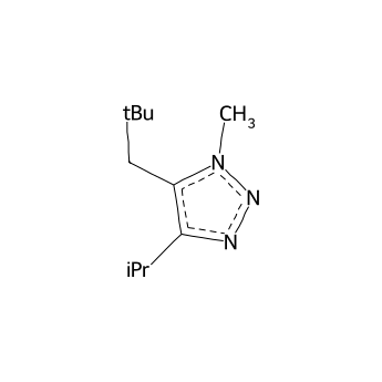 CC(C)c1nnn(C)c1CC(C)(C)C